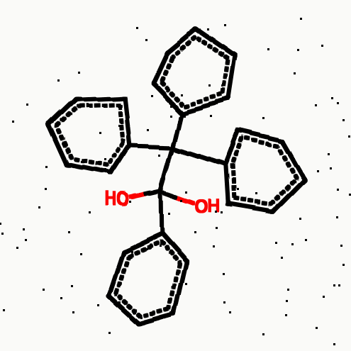 OC(O)(c1ccccc1)C(c1ccccc1)(c1ccccc1)c1ccccc1